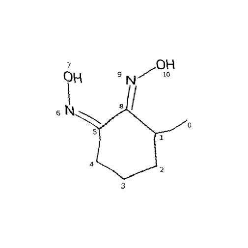 CC1CCCC(=NO)C1=NO